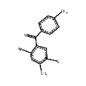 Cc1cc(Br)c(C(=O)c2ccc(P)cc2)cc1Cl